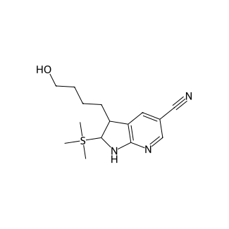 CS(C)(C)C1Nc2ncc(C#N)cc2C1CCCCO